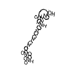 C[C@@]1(O)CC/C=C\Cn2c(=O)c3cnc(Nc4ccc(N5CCC6(CC5)CCN(C5CCN(c7ccc8c(c7)C(=O)N(C7CCC(=O)NC7=O)C8=O)CC5)CC6)cc4)nc3n2-c2cccc1n2